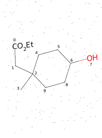 CCOC(=O)CC1(C)CCC(O)CC1